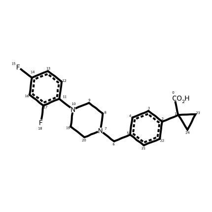 O=C(O)C1(c2ccc(CN3CCN(c4ccc(F)cc4F)CC3)cc2)CC1